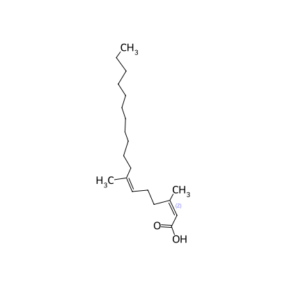 CCCCCCCCCCCC(C)=CCC/C(C)=C\C(=O)O